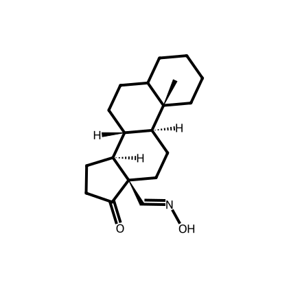 C[C@]12CCCCC1CC[C@@H]1[C@@H]2CC[C@]2(C=NO)C(=O)CC[C@@H]12